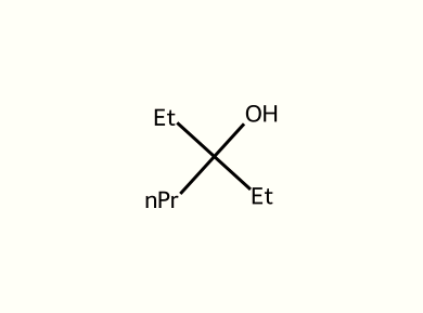 [CH2]CC(O)(CC)CCC